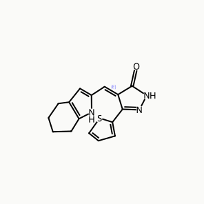 O=C1NN=C(c2cccs2)/C1=C\c1cc2c([nH]1)CCCC2